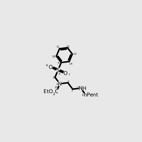 CCCCCNCCN(CS(=O)(=O)c1ccccc1)C(=O)OCC